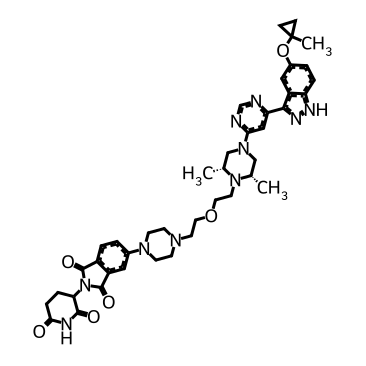 C[C@@H]1CN(c2cc(-c3n[nH]c4ccc(OC5(C)CC5)cc34)ncn2)C[C@H](C)N1CCOCCN1CCN(c2ccc3c(c2)C(=O)N(C2CCC(=O)NC2=O)C3=O)CC1